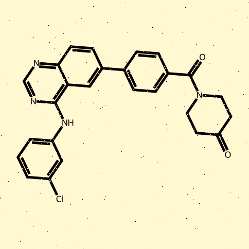 O=C1CCN(C(=O)c2ccc(-c3ccc4ncnc(Nc5cccc(Cl)c5)c4c3)cc2)CC1